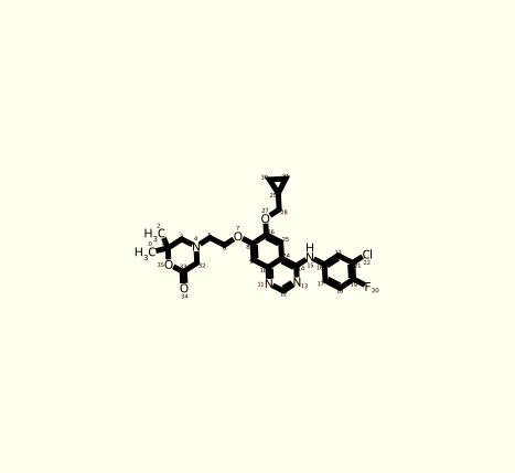 CC1(C)CN(CCOc2cc3ncnc(Nc4ccc(F)c(Cl)c4)c3cc2OCC2CC2)CC(=O)O1